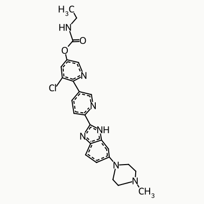 CCNC(=O)Oc1cnc(-c2ccc(-c3nc4ccc(N5CCN(C)CC5)cc4[nH]3)nc2)c(Cl)c1